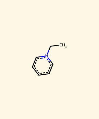 CC[n+]1cc[c]cc1